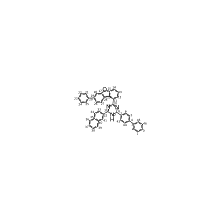 c1ccc(-c2ccc(C3N=C(c4cccc5oc6cc(-c7ccccc7)ccc6c45)N=C(c4ccc5ccccc5c4)N3)cc2)cc1